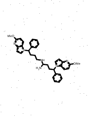 COc1ccc2c(ccn2C(CCCNC(N)CCC(c2ccccc2)n2ccc3nc(OC)ccc32)c2ccccc2)n1